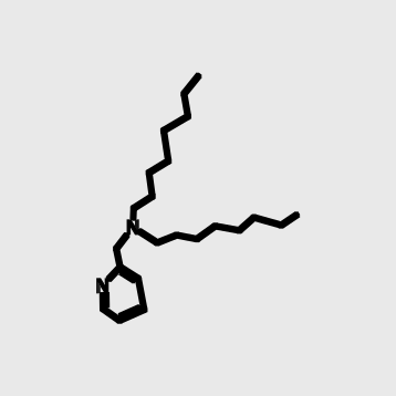 CCCCCCCCN(CCCCCCCC)Cc1ccccn1